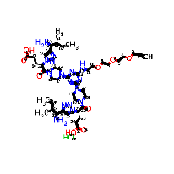 C#CCOCCOCCOCCNc1nc(N2CCN(C(=O)[C@H](CCC(=O)O)n3cc(C(N)[C@H](C)CC)nn3)CC2)nc(N2CCN(C(=O)[C@H](CCC(=O)O)n3cc(C(N)[C@H](C)CC)nn3)CC2)n1.Cl